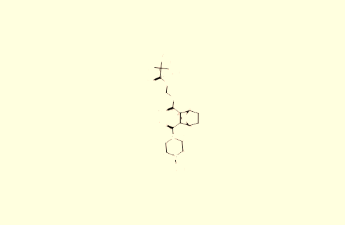 CN1CCN(C(=O)C2C(C(=O)OCOC(=O)C(C)(C)C)C3CC[C@@H]2O3)CC1